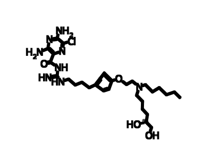 CCCCCCN(CCCC[C@H](O)CO)CCOc1ccc(CCCCNC(=N)NC(=O)c2nc(Cl)c(N)nc2N)cc1